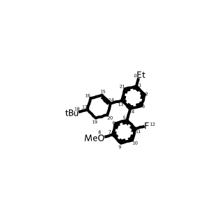 CCc1ccc(-c2cc(OC)ccc2F)c(C2=CCC(C(C)(C)C)CC2)c1